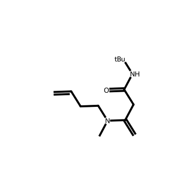 C=CCCN(C)C(=C)CC(=O)NC(C)(C)C